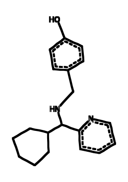 Oc1ccc(CNC(c2ccccn2)C2CCCCC2)cc1